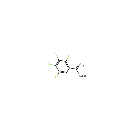 C=C(C(=O)O)c1cc(F)c(F)c(F)c1F